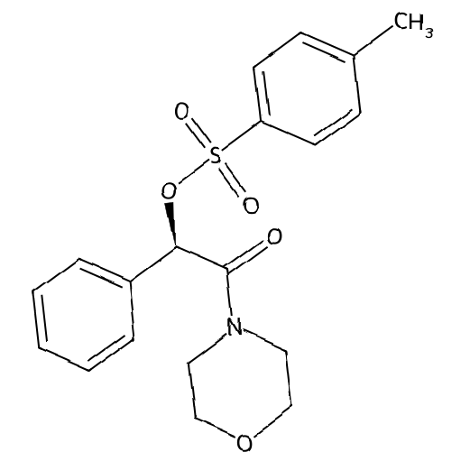 Cc1ccc(S(=O)(=O)O[C@@H](C(=O)N2CCOCC2)c2ccccc2)cc1